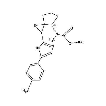 Bc1ccc(-c2cnc(C3SC34CCC[C@@H]4N(C)C(=O)OC(C)(C)C)[nH]2)cc1